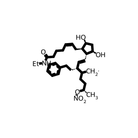 [CH2]C(CC[C@H](C)O[N+](=O)[O-])[C@@H](/C=C/[C@@H]1[C@@H](C/C=C\CCCC(=O)NCC)[C@@H](O)C[C@H]1O)CCc1ccccc1